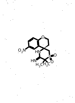 CC1(C)C(=N)N[C@@]2(CCOc3ccc([N+](=O)[O-])cc32)CS1(=O)=O